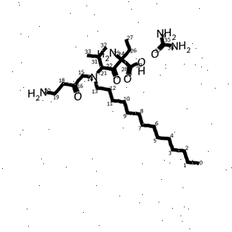 CCCCCCCCCCCCCCN(CC(=O)CCN)C(C(=O)C(N)(CC)C(=O)O)C(C)C.NC(N)=O